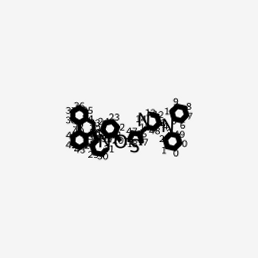 c1ccc(N(c2ccccc2)c2ccnc(-c3csc(Oc4cccc([C@@]5(c6ccccn6)Cc6ccccc6-c6ccccc65)c4)c3)c2)cc1